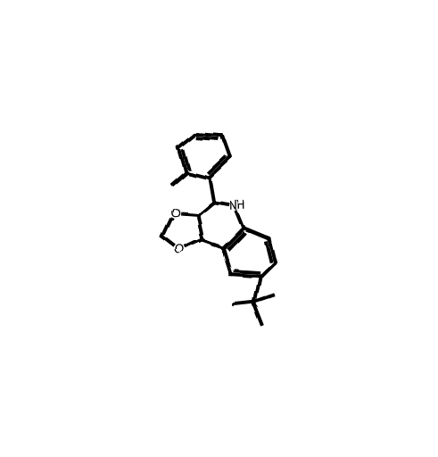 Cc1ccccc1C1Nc2ccc(C(C)(C)C)cc2C2OCOC12